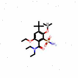 CCOc1cc(C(C)(C)C)c(O[SiH](C)C)c(S(N)(=O)=O)c1C(=O)N(CC)CC